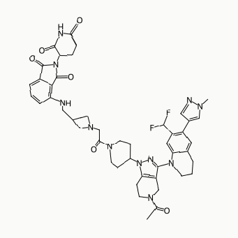 CC(=O)N1CCc2c(c(N3CCCc4cc(-c5cnn(C)c5)c(C(F)F)cc43)nn2C2CCN(C(=O)CN3CC(CNc4cccc5c4C(=O)N(C4CCC(=O)NC4=O)C5=O)C3)CC2)C1